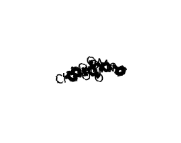 COCC12CN(S(=O)(=O)c3ccc4cc(Cl)ccc4c3)CC(=O)N1CC1(CCN(Cc3ccccc3)CC1)CO2